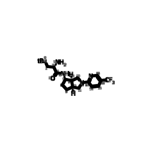 CC(C)(C)C[C@H](N)C(=O)N[C@H]1CC[C@@H]2CN(c3ccc(C(F)(F)F)cn3)C[C@@H]21